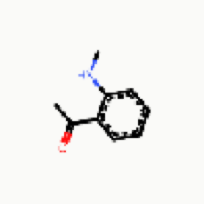 CNc1ccccc1C(C)=O